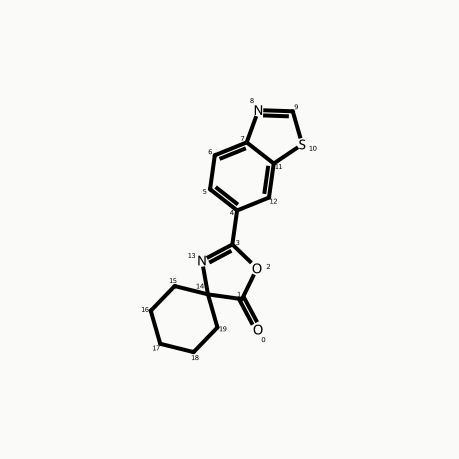 O=C1OC(c2ccc3ncsc3c2)=NC12CCCCC2